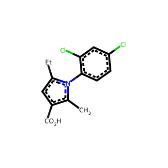 CCc1cc(C(=O)O)c(C)n1-c1ccc(Cl)cc1Cl